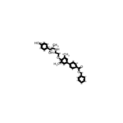 Cc1cc(-c2ccc(C(=O)OCc3ccccc3)cc2)cc(C)c1OCCN[C@@H](C)[C@H](O)c1ccc(O)cc1